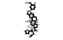 C[C@]12Cc3cnn(-c4ccc(F)c(CO)c4)c3C=C1CC[C@@H]1[C@@H]2[C@@H](O)C[C@@]2(C)[C@H]1CC[C@]2(OC(=O)c1ccco1)C(=O)OCC#N